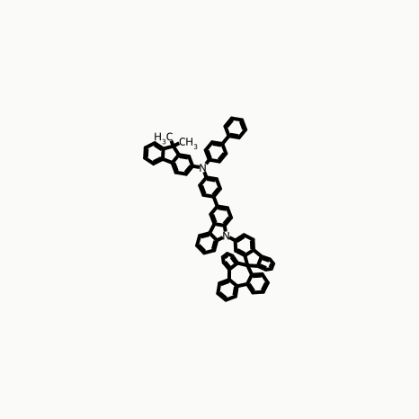 CC1(C)c2ccccc2-c2ccc(N(c3ccc(-c4ccccc4)cc3)c3ccc(-c4ccc5c(c4)c4ccccc4n5-c4ccc5c(c4)C4(c6ccccc6-c6ccccc6-c6ccccc64)c4ccccc4-5)cc3)cc21